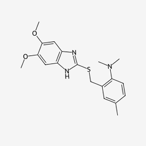 COc1cc2nc(SCc3cc(C)ccc3N(C)C)[nH]c2cc1OC